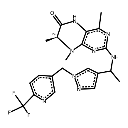 Cc1nc(NC(C)c2cnn(Cc3ccc(C(F)(F)F)nc3)c2)nc2c1NC(=O)[C@H](C)N2C